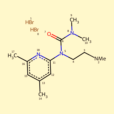 Br.Br.CNCCN(C(=O)N(C)C)c1cc(C)cc(C)n1